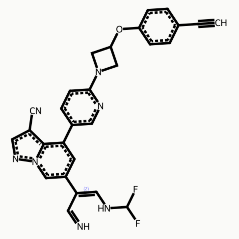 C#Cc1ccc(OC2CN(c3ccc(-c4cc(/C(C=N)=C/NC(F)F)cn5ncc(C#N)c45)cn3)C2)cc1